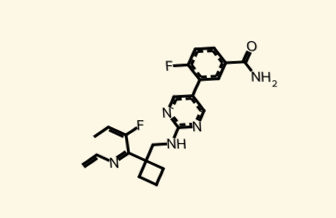 C=C/N=C(\C(F)=C/C)C1(CNc2ncc(-c3cc(C(N)=O)ccc3F)cn2)CCC1